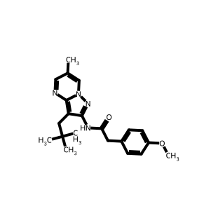 COc1ccc(CC(=O)Nc2nn3cc(C)cnc3c2CC(C)(C)C)cc1